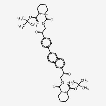 CC(C)(C)OC(=O)N1CCCCC1C(=O)OCC(=O)c1ccc2cc(-c3ccc(C(=O)COC(=O)[C@@H]4CCCCN4C(=O)OC(C)(C)C)cc3)ccc2c1